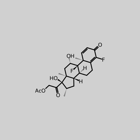 CC(=O)OCC(=O)[C@@]1(O)[C@@H](C)C[C@H]2[C@@H]3CCC4=C(F)C(=O)C=C[C@]4(C)[C@@]3(F)[C@@H](O)C[C@@]21C